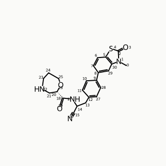 Cn1c(=O)sc2ccc(-c3ccc(CC(C#N)NC(=O)[C@@H]4CNCCCO4)cc3)cc21